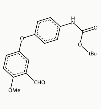 COc1ccc(Oc2ccc(NC(=O)OC(C)(C)C)cc2)cc1C=O